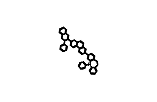 C1=CC2CC(C3=Cc4ccccc4CC3c3ccccc3)=CC=C2c2ccc(-c3ccc4c(c3)N(c3ccccc3)c3ccccc3CC4)cc21